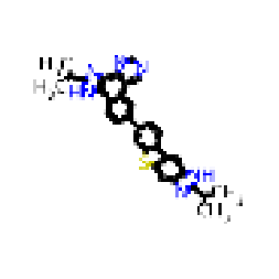 CC(C)c1nc2cc3sc4cc(-c5ccc6c(c5)c5cncnc5c5nc(C(C)C)[nH]c65)ccc4c3cc2[nH]1